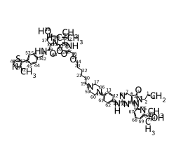 C=CCn1c(=O)c2cnc(Nc3ccc(N4CCN(CCCCCCOCC(=O)N[C@H](C(=O)N5CC(O)CC5C(=O)NCc5ccc(-c6scnc6C)cc5)C(C)(C)C)CC4)cc3)nc2n1-c1cccc(C(C)(C)O)n1